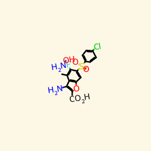 Cc1c(F)c(S(=O)(=O)c2ccc(Cl)cc2)cc2oc(C(=O)O)c(N)c12.NO